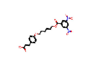 O=C(O)/C=C/c1ccc(OCCCCCCOC(=O)c2cc([N+](=O)[O-])cc([N+](=O)[O-])c2)cc1